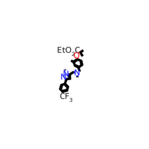 CCOC(=O)C(C)(C)Oc1ccc(CN(C)Cc2cc(-c3ccc(C(F)(F)F)cc3)nn2C)cc1C